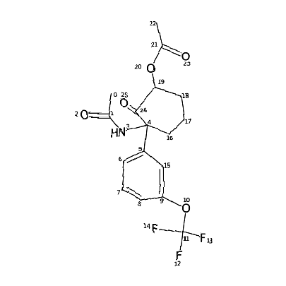 CC(=O)NC1(c2cccc(OC(F)(F)F)c2)CCCC(OC(C)=O)C1=O